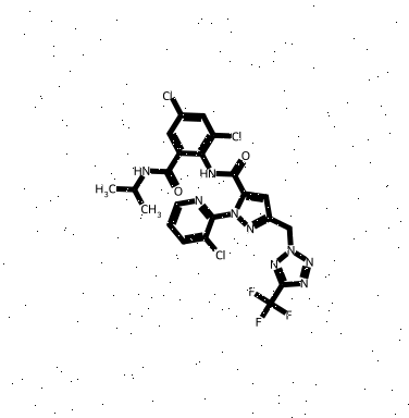 CC(C)NC(=O)c1cc(Cl)cc(Cl)c1NC(=O)c1cc(Cn2nnc(C(F)(F)F)n2)nn1-c1ncccc1Cl